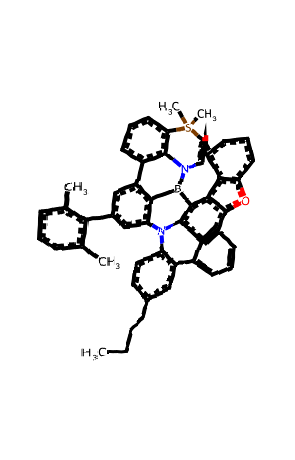 CCCCc1ccc(N2c3c#cc4oc5ccccc5c4c3B3c4c(cc(-c5c(C)cccc5C)cc42)-c2cccc4c2N3c2ccccc2S4(C)C)c(C2=CC=CCC2)c1